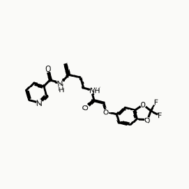 C=C(CCNC(=O)COc1ccc2c(c1)OC(F)(F)O2)NC(=O)c1cccnc1